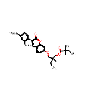 CCCCCc1ccc(-c2cc3ccc(OCC(C)(COC(=O)C(C)(CC(C)(C)C)C(C)(C)C)CC(F)(F)F)cc3oc2=O)c(OC)c1